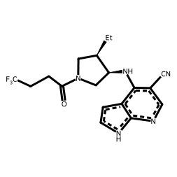 CC[C@@H]1CN(C(=O)CCC(F)(F)F)C[C@@H]1Nc1c(C#N)cnc2[nH]ccc12